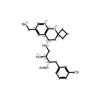 CC(=O)N[C@@H](Cc1cccc(C#N)c1)[C@@H](O)CN[C@H]1CC2(CCC2)Oc2ncc(CC(C)(C)C)cc21